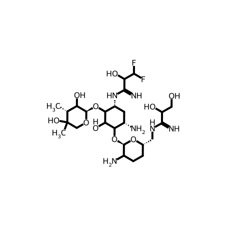 C[C@@H]1C(O)[C@@H](OC2C(O)C(O[C@H]3O[C@H](CNC(=N)C(O)CO)CCC3N)[C@@H](N)C[C@H]2NC(=N)C(O)C(F)F)OCC1(C)O